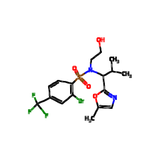 Cc1cnc(C(C(C)C)N(CCO)S(=O)(=O)c2ccc(C(F)(F)F)cc2Br)o1